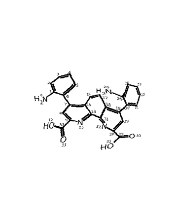 Nc1ccccc1-c1cc(C(=O)O)nc2c1ccc1c(-c3ccccc3N)cc(C(=O)O)nc12